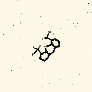 NC(=O)c1cccc2cc3cccc(C(F)(F)F)c3nc12